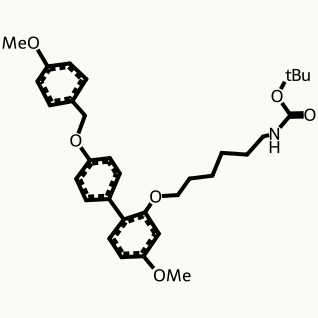 COc1ccc(COc2ccc(-c3ccc(OC)cc3OCCCCCCNC(=O)OC(C)(C)C)cc2)cc1